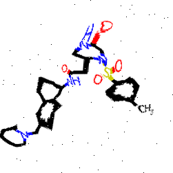 Cc1ccc(S(=O)(=O)N2CC(=O)NCC2CC(=O)NC2CCCc3cc(CN4CCCCC4)ccc32)cc1